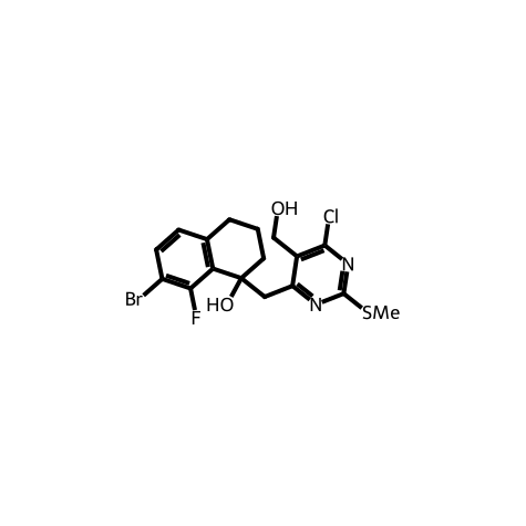 CSc1nc(Cl)c(CO)c(CC2(O)CCCc3ccc(Br)c(F)c32)n1